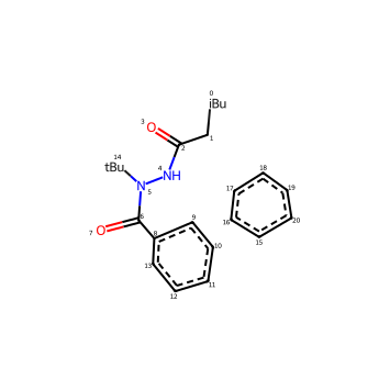 CCC(C)CC(=O)NN(C(=O)c1ccccc1)C(C)(C)C.c1ccccc1